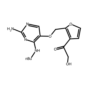 CCCCNc1nc(N)ncc1OCc1occc1C(=O)CO